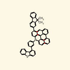 CC1(C)c2ccccc2-c2ccc(-c3ccc(N(c4cccc(-c5cccc6sc7ccccc7c56)c4)c4ccccc4-c4cccc5cccc(-c6ccccc6)c45)cc3)cc21